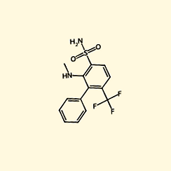 CNc1c(S(N)(=O)=O)ccc(C(F)(F)F)c1-c1ccccc1